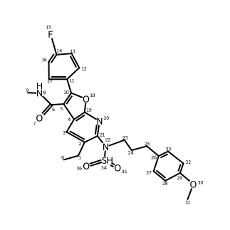 CCc1cc2c(C(=O)NC)c(-c3ccc(F)cc3)oc2nc1N(CCCc1ccc(OC)cc1)[SH](=O)=O